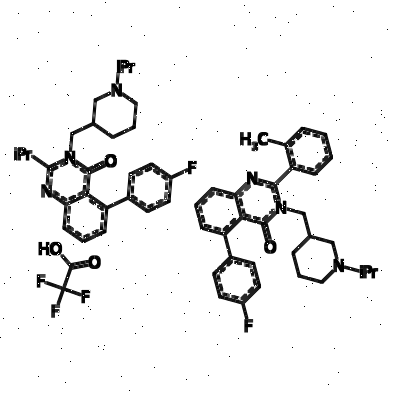 CC(C)c1nc2cccc(-c3ccc(F)cc3)c2c(=O)n1CC1CCCN(C(C)C)C1.Cc1ccccc1-c1nc2cccc(-c3ccc(F)cc3)c2c(=O)n1CC1CCCN(C(C)C)C1.O=C(O)C(F)(F)F